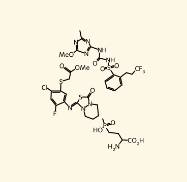 COC(=O)CSc1cc(/N=c2\sc(=O)n3n2CCCC3)c(F)cc1Cl.COc1nc(C)nc(NC(=O)NS(=O)(=O)c2ccccc2CCC(F)(F)F)n1.CP(=O)(O)CCC(N)C(=O)O